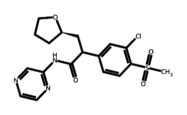 CS(=O)(=O)c1ccc(C(C[C@H]2CCCO2)C(=O)Nc2cnccn2)cc1Cl